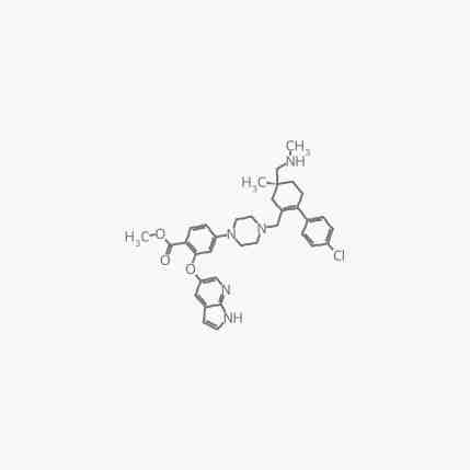 CNC[C@]1(C)CCC(c2ccc(Cl)cc2)=C(CN2CCN(c3ccc(C(=O)OC)c(Oc4cnc5[nH]ccc5c4)c3)CC2)C1